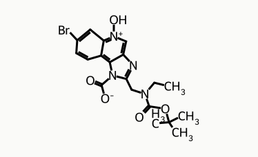 CCN(Cc1nc2c[n+](O)c3cc(Br)ccc3c2n1C(=O)[O-])C(=O)OC(C)(C)C